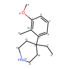 CCC1(c2cccc(OC)c2C)CCNCC1